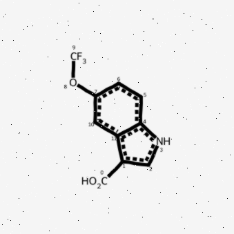 O=C(O)c1c[nH]c2ccc(OC(F)(F)F)cc12